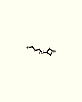 FCCCNC1CNC1